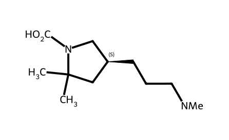 CNCCC[C@@H]1CN(C(=O)O)C(C)(C)C1